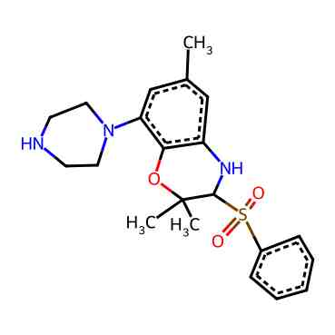 Cc1cc2c(c(N3CCNCC3)c1)OC(C)(C)C(S(=O)(=O)c1ccccc1)N2